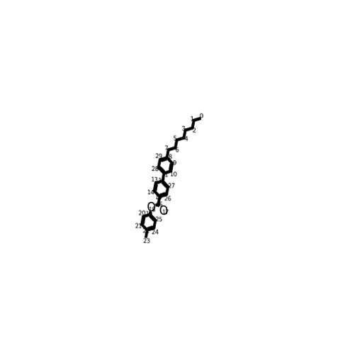 CCCCCCCCc1ccc(-c2ccc(C(=O)Oc3ccc(C)cc3)cc2)cc1